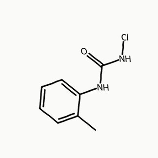 Cc1ccccc1NC(=O)NCl